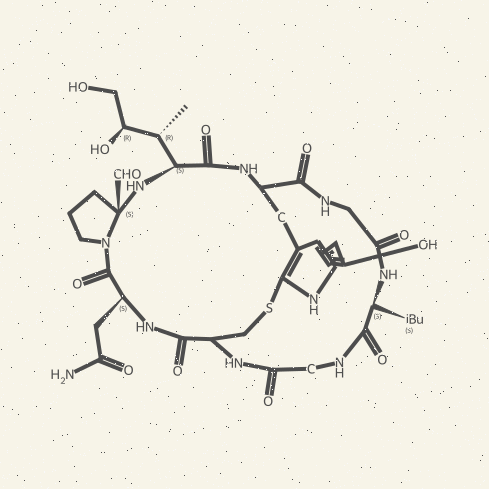 CC[C@H](C)[C@@H]1NC(=O)CNC(=O)C2Cc3c([nH]c4cc(O)ccc34)SCC(NC(=O)CNC1=O)C(=O)N[C@@H](CC(N)=O)C(=O)N1CCC[C@]1(C=O)N[C@@H]([C@@H](C)[C@@H](O)CO)C(=O)N2